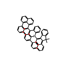 CC1(C)c2ccccc2-c2c(N(c3ccccc3-c3ccccc3)c3ccccc3-c3ccccc3-c3cccc4cccc(-c5ccccc5)c34)cc3ccccc3c21